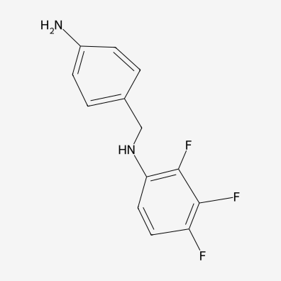 Nc1ccc(CNc2ccc(F)c(F)c2F)cc1